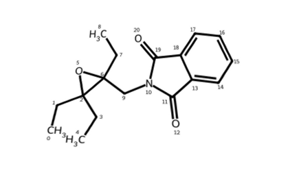 CCC1(CC)OC1(CC)CN1C(=O)c2ccccc2C1=O